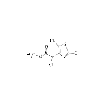 COC(=O)C(Cl)c1cc(Cl)sc1Cl